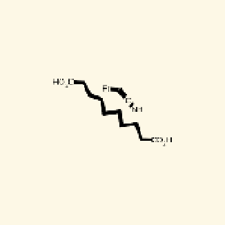 CCC=C=N.O=C(O)CCCCCCCCC(=O)O